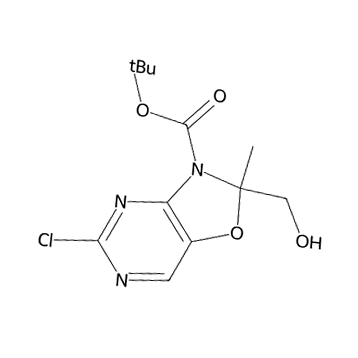 CC(C)(C)OC(=O)N1c2nc(Cl)ncc2OC1(C)CO